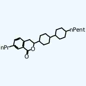 CCCCCC1CCC(C2CCC(C3Cc4ccc(CCC)cc4C(=O)O3)CC2)CC1